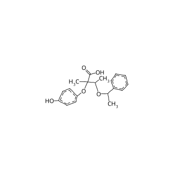 CC(OC(C)C(C)(Oc1ccc(O)cc1)C(=O)O)c1ccccc1